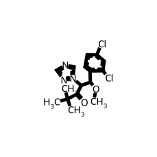 COC(c1ccc(Cl)cc1Cl)C(C(=O)C(C)(C)C)n1cncn1